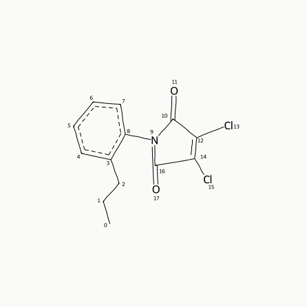 CCCc1ccccc1N1C(=O)C(Cl)=C(Cl)C1=O